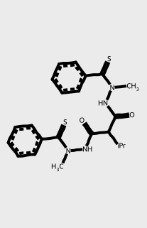 CC(C)C(C(=O)NN(C)C(=S)c1ccccc1)C(=O)NN(C)C(=S)c1ccccc1